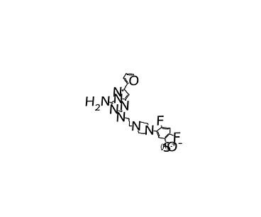 CN(CCN1CCN(c2cc([S@+](C)[O-])c(F)cc2F)CC1)c1nc(N)n2nc(-c3ccco3)cc2n1